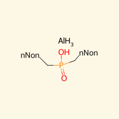 CCCCCCCCCCP(=O)(O)CCCCCCCCCC.[AlH3]